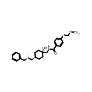 COCOc1ccc(C(=O)NC[C@]2(O)CC[C@@H](COCc3ccccc3)CC2)cc1